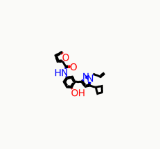 C=CCn1nc(-c2cc(NC(=O)c3ccco3)ccc2O)cc1C1CCC1